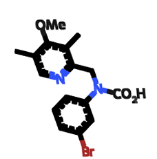 COc1c(C)cnc(CN(C(=O)O)c2cccc(Br)c2)c1C